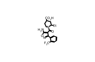 CCC1CC(C(=O)O)CCN1C(=O)c1c(-c2ccccc2C(F)(F)F)noc1N